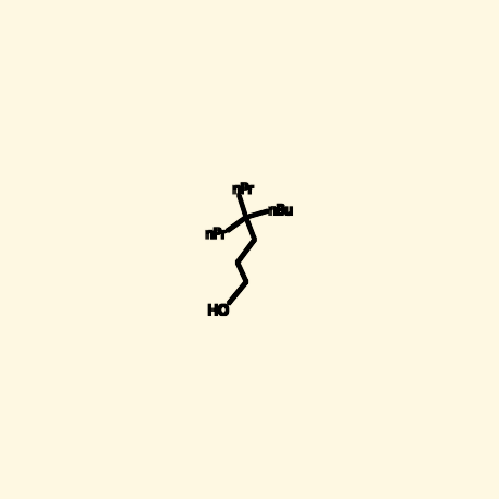 CCCCC(CCC)(CCC)CCCO